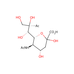 CC(=O)N[C@H]1[C@H]([C@H](O)[C@](O)(CO)C(C)=O)OC(O)(C(=O)O)C[C@@H]1O